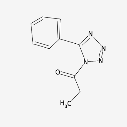 CCC(=O)n1nnnc1-c1ccccc1